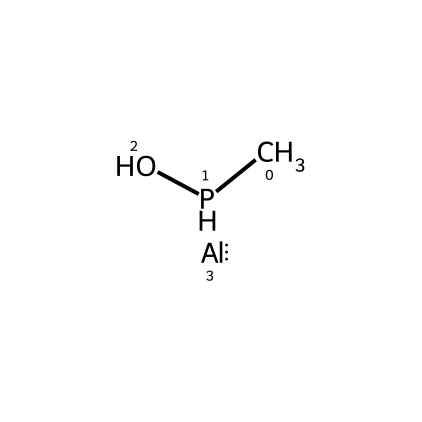 CPO.[Al]